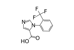 O=C(O)c1cncn1-c1ccccc1C(F)(F)F